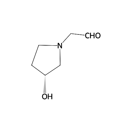 O=CCN1CC[C@@H](O)C1